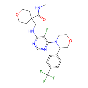 CNC(=O)C1(CNc2ncnc(N3CCOCC3c3ccc(C(F)(F)F)cc3)c2F)CCOCC1